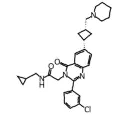 O=C(Cn1c(-c2cccc(Cl)c2)nc2ccc([C@H]3C[C@@H](CN4CCCCC4)C3)cc2c1=O)NCC1CC1